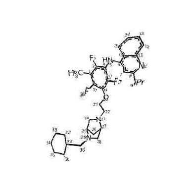 Cc1c(F)c(Nc2cc(C(C)C)nc3ccccc23)c(F)c(OCCN2CC3CC2CN3CC2CCCCC2)c1F